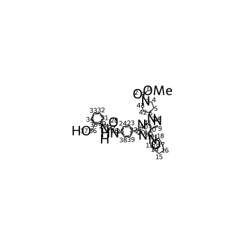 COC(=O)N1CCC(n2ncc3c(N4CC5CCC(C4)O5)nc(-c4ccc(NC(=O)Nc5ccccc5CO)cc4)nc32)CC1